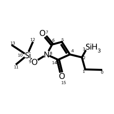 CCC([SiH3])C1=CC(=O)N(O[Si](C)(C)C)C1=O